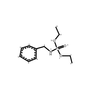 CCOP(=O)(NCc1ccccc1)OCC